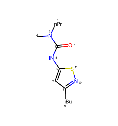 CCCN(C)C(=O)Nc1cc(C(C)CC)ns1